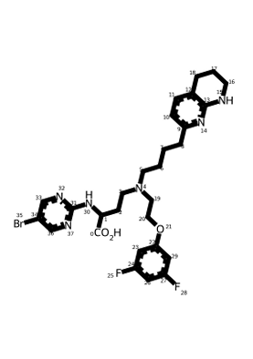 O=C(O)C(CCN(CCCCc1ccc2c(n1)NCCC2)CCOc1cc(F)cc(F)c1)Nc1ncc(Br)cn1